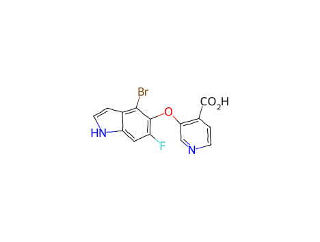 O=C(O)c1ccncc1Oc1c(F)cc2[nH]ccc2c1Br